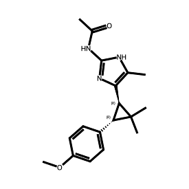 COc1ccc([C@@H]2[C@@H](c3nc(NC(C)=O)[nH]c3C)C2(C)C)cc1